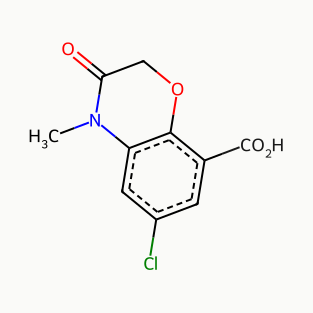 CN1C(=O)COc2c(C(=O)O)cc(Cl)cc21